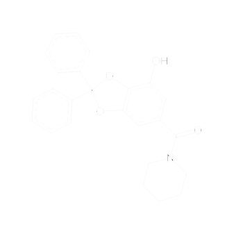 O=C(c1cc(O)c2c(c1)OC(c1ccccc1)(c1ccccc1)O2)N1CCCCC1